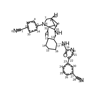 N#Cc1ccc(N2C[C@@H]3C[C@H](N[C@@H]4CCCC[C@H]4Nc4ncc(-c5cccc(C#N)c5)o4)[C@H]2C3)cc1